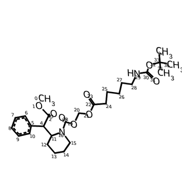 COC(=O)C(c1ccccc1)C1CCCCN1C(=O)OCOC(=O)CCCCCNC(=O)OC(C)(C)C